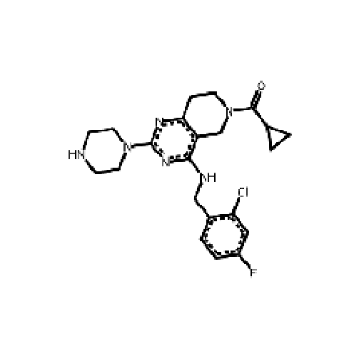 O=C(C1CC1)N1CCc2nc(N3CCNCC3)nc(NCc3ccc(F)cc3Cl)c2C1